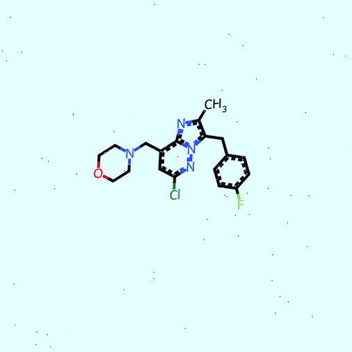 Cc1nc2c(CN3CCOCC3)cc(Cl)nn2c1Cc1ccc(F)cc1